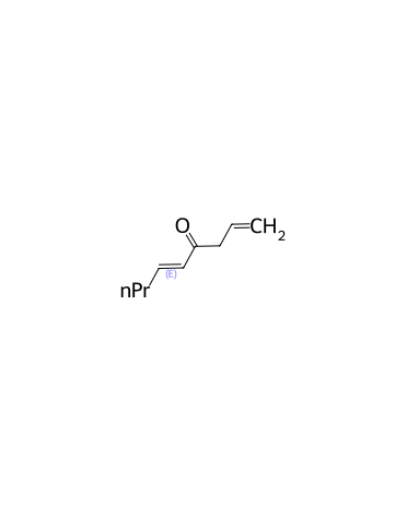 C=CCC(=O)/C=C/CCC